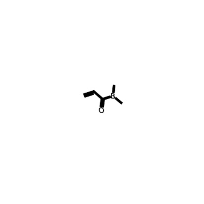 C=CC(=O)B(C)C